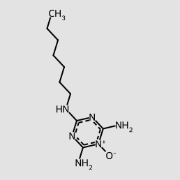 CCCCCCCNc1nc(N)[n+]([O-])c(N)n1